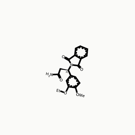 CCOc1cc([C@@H](CC(N)=O)N2C(=O)c3ccccc3C2=O)ccc1OC